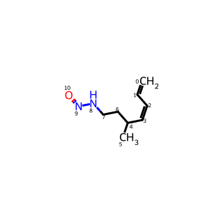 C=C/C=C\C(C)CCNN=O